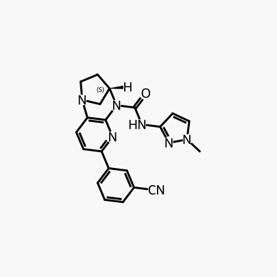 Cn1ccc(NC(=O)N2c3nc(-c4cccc(C#N)c4)ccc3N3CC[C@H]2C3)n1